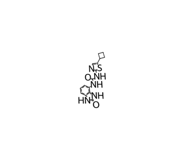 O=C(Nc1ncc(C2CCC2)s1)Nc1cccc2[nH]c(=O)[nH]c12